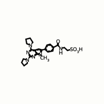 Cn1c(-c2ccc(C(=O)NCCS(=O)(=O)O)cc2)cc2c(N3CCCC3)nc(N3CCCC3)nc21